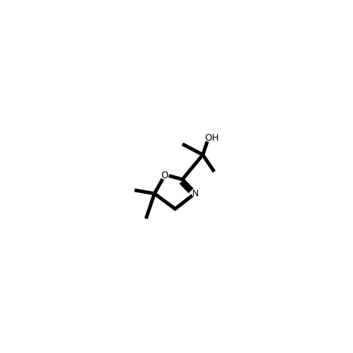 CC1(C)CN=C(C(C)(C)O)O1